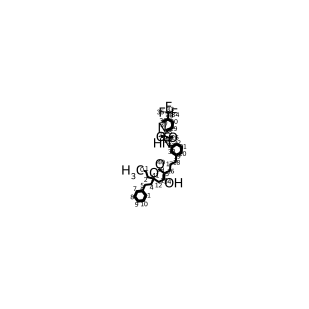 CCCC1(CCc2ccccc2)CC(O)=C(CCCc2cccc(NS(=O)(=O)c3ccc(C(F)(F)F)cn3)c2)C(=O)O1